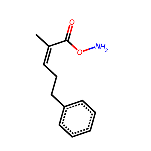 CC(=CCCc1ccccc1)C(=O)ON